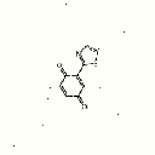 O=C1C=CC(=O)C(c2nccs2)=C1